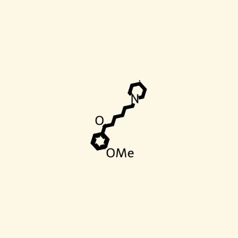 COc1cccc(C(=O)CCCCCN2CC[CH]CC2)c1